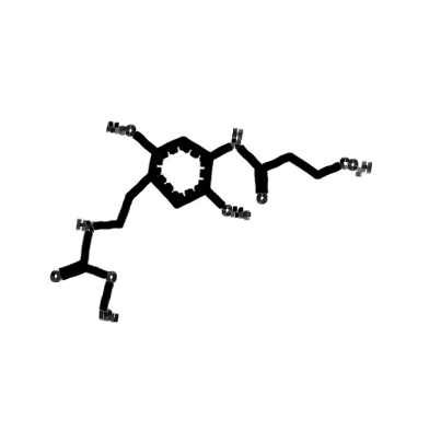 COc1cc(NC(=O)CCC(=O)O)c(OC)cc1CCNC(=O)OC(C)(C)C